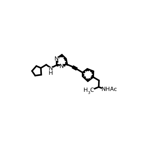 CC(=O)NC(C)Cc1ccc(C#Cc2ccnc(NCC3CCCC3)n2)cc1